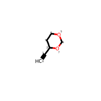 C#CC1CCOCO1